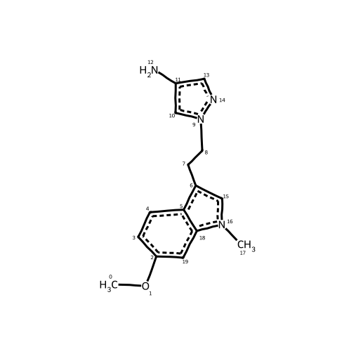 COc1ccc2c(CCn3cc(N)cn3)cn(C)c2c1